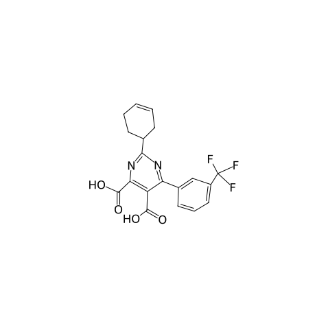 O=C(O)c1nc(C2CC=CCC2)nc(-c2cccc(C(F)(F)F)c2)c1C(=O)O